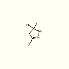 CCC1=NNC(C)(CC)C1